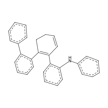 C1=CC(c2ccccc2Nc2ccccc2)=C(c2ccccc2-c2ccccc2)CC1